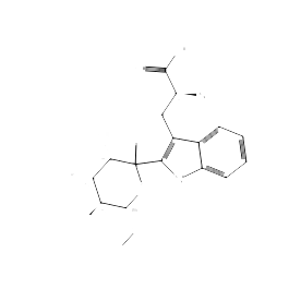 N[C@@H](Cc1c(C2(O)O[C@H](CO)[C@@H](O)[C@H](O)[C@@H]2O)[nH]c2ccccc12)C(=O)O